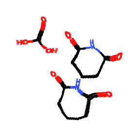 O=C(O)O.O=C1CCCC(=O)N1.O=C1CCCC(=O)N1